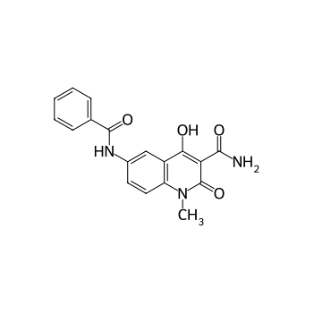 Cn1c(=O)c(C(N)=O)c(O)c2cc(NC(=O)c3ccccc3)ccc21